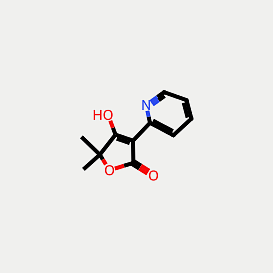 CC1(C)OC(=O)C(c2ccccn2)=C1O